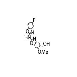 COc1cc2oc(Nc3nc4cc(F)ccc4o3)nc2cc1CO